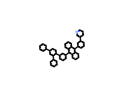 c1ccc(-c2ccc(-c3cccc(-c4c5ccccc5c(-c5cccc(-c6cccnc6)c5)c5ccccc45)c3)c(-c3ccccc3)c2)cc1